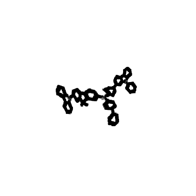 CC1(C)c2cc(N(c3ccc(-c4ccccc4)cc3)c3ccc(-c4ccc5c6ccccc6n(-c6ccccc6)c5c4)cc3)ccc2-c2ccc(-n3c4ccccc4c4ccccc43)cc21